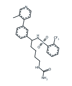 Cc1cnccc1-c1cccc(C(CCCCNC(N)=O)NS(=O)(=O)c2ccccc2C(F)(F)F)c1